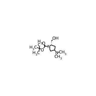 CN(C)C1C[C@@H](CO)N(C(=O)OC(C)(C)C)C1